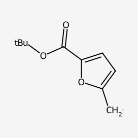 [CH2]c1ccc(C(=O)OC(C)(C)C)o1